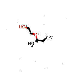 C=C(CCCC)OCCO